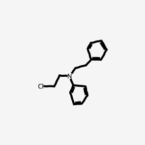 ClCCN(CCc1ccccc1)c1ccccc1